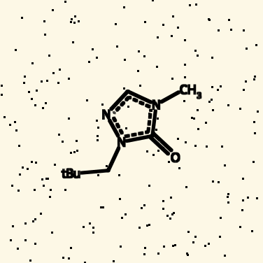 Cn1cnn(CC(C)(C)C)c1=O